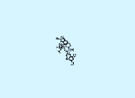 COc1ccc(CN(CC2CC2)C(=S)NC2CCc3cc4cnc(C5CC5)cc4c(S(=O)(=O)NCC(C)C)c3C2)c(OC)c1